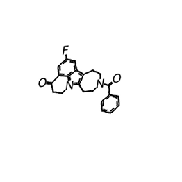 O=C1CCn2c3c(c4cc(F)cc1c42)CCN(C(=O)c1ccccc1)CC3